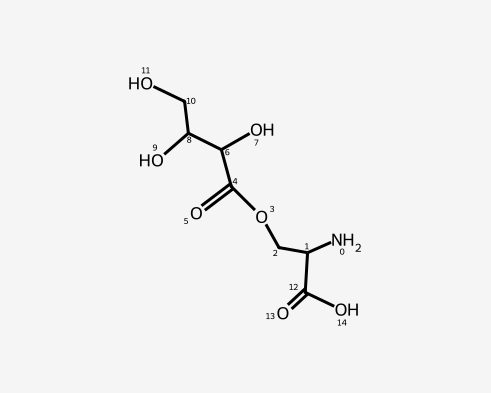 NC(COC(=O)C(O)C(O)CO)C(=O)O